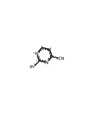 CC(C)c1nccc(C#N)n1